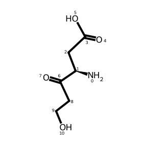 N[C@H](CC(=O)O)C(=O)CCO